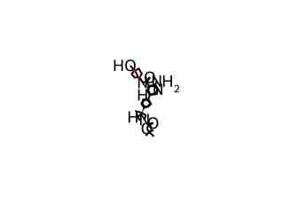 CC(C)(C)OC(=O)N1C[C@@H]2C[C@]2(c2ccc(-c3cnc(N)c(C(=O)NC45CCC(O)(CC4)CC5)c3)cc2)C1